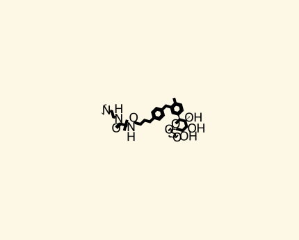 Cc1ccc([C@@H]2O[C@H](S(C)(=O)=O)[C@@H](O)[C@H](O)[C@H]2O)cc1Cc1ccc(CCCC(=O)NC(C)(C)C(=O)NCCN(C)C)cc1